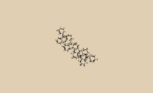 c1ccc(N2c3ccccc3B3c4c2cccc4-n2c4ccc5c(c6cccc7c6n5-c5cccc6c5B7c5ccccc5N6c5ccccc5)c4c4cccc3c42)cc1